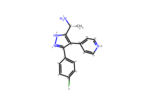 C[C@@H](N)c1[nH]nc(-c2ccc(F)cc2)c1-c1ccncc1